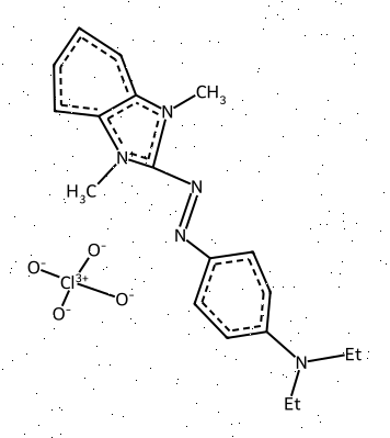 CCN(CC)c1ccc(/N=N/c2n(C)c3ccccc3[n+]2C)cc1.[O-][Cl+3]([O-])([O-])[O-]